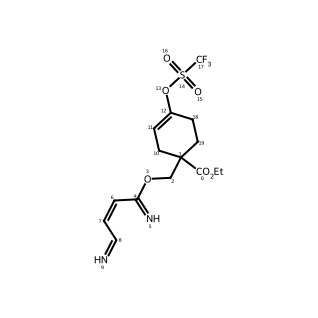 CCOC(=O)C1(COC(=N)/C=C\C=N)CC=C(OS(=O)(=O)C(F)(F)F)CC1